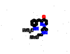 CCOC(=O)Nc1cccc(Cc2nn(-c3cnn(CCOC)c3)ccc2=O)c1